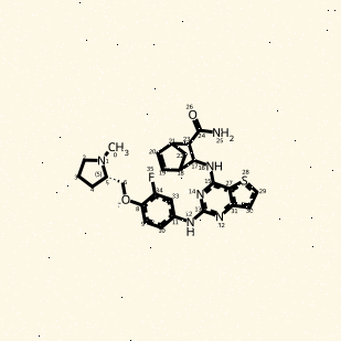 CN1CCC[C@H]1COc1ccc(Nc2nc(NC3C4C=CC(C4)C3C(N)=O)c3sccc3n2)cc1F